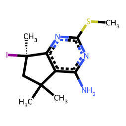 CSc1nc(N)c2c(n1)[C@](C)(I)CC2(C)C